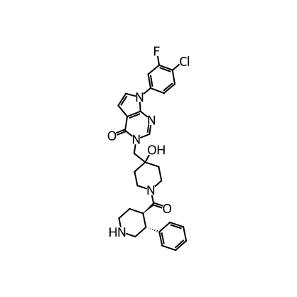 O=C([C@@H]1CCNC[C@H]1c1ccccc1)N1CCC(O)(Cn2cnc3c(ccn3-c3ccc(Cl)c(F)c3)c2=O)CC1